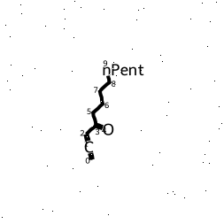 C=C=CC(=O)CCCCCCCCC